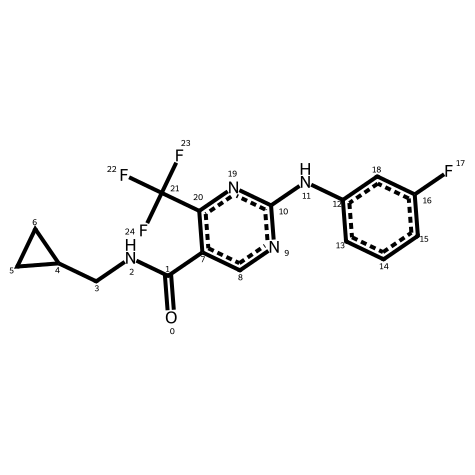 O=C(NCC1CC1)c1cnc(Nc2cccc(F)c2)nc1C(F)(F)F